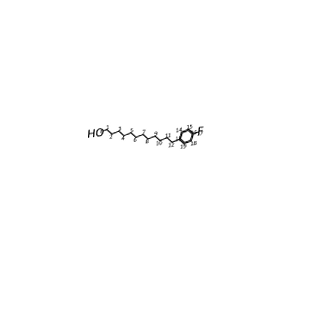 OCCCCCCCCCCCCc1ccc(F)cc1